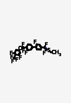 CCS/C(F)=C(\F)c1ccc(-c2ccc(C(F)(F)Oc3cc(F)c(C(F)(F)F)c(F)c3)c(F)c2)c(F)c1